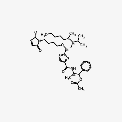 CCCCCN(C)[C@H](C[C@@H](OCCCCN1C(=O)C=CC1=O)c1nc(C(=O)N[C@H](C)C(OC(C)=O)c2ccccc2)cs1)C(C)C